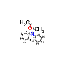 C=COC(C)N(c1ccccc1)c1ccccc1